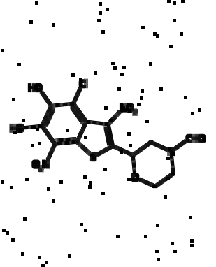 O=CN1CCOC(c2sc3c([N+](=O)[O-])c(O)c(O)c(Cl)c3c2[N+](=O)[O-])C1